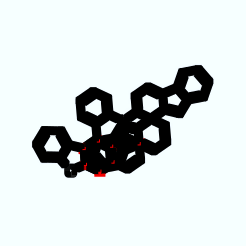 C1=CC2(C3=Cc4ccccc4C3=C1)C1=Cc3ccccc3C1=CC=C2N(c1ccccc1-c1cccc2oc3ccccc3c12)c1cccc2ccccc12